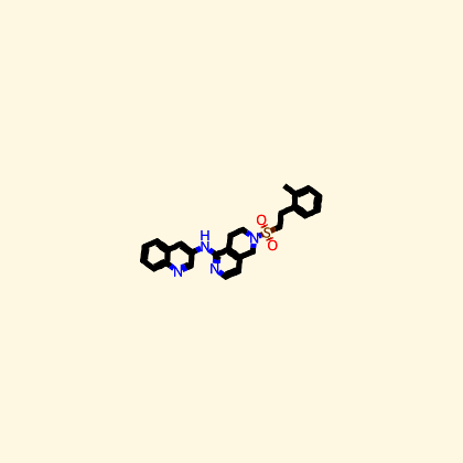 Cc1ccccc1CCS(=O)(=O)N1CCc2c(ccnc2Nc2cnc3ccccc3c2)C1